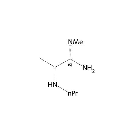 CCCNC(C)[C@@H](N)NC